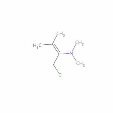 CC(C)=C(CCl)N(C)C